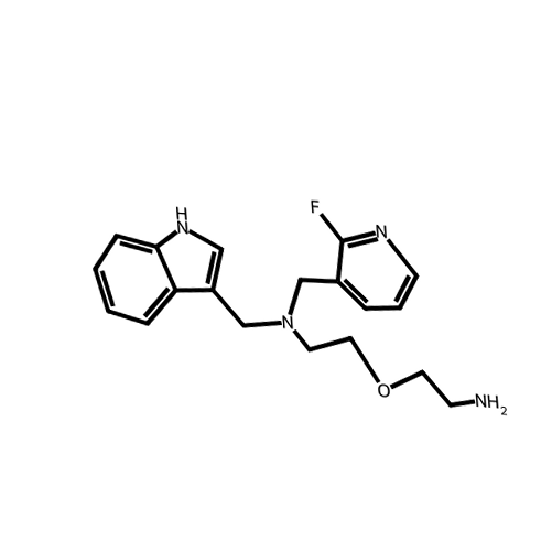 NCCOCCN(Cc1cccnc1F)Cc1c[nH]c2ccccc12